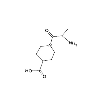 CC(N)C(=O)N1CCC(C(=O)O)CC1